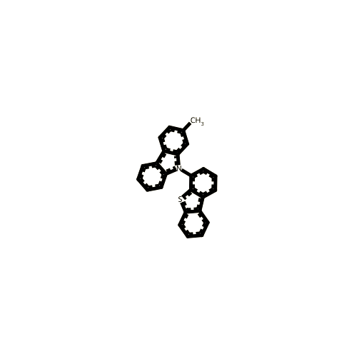 Cc1ccc2c3ccccc3n(-c3cccc4c3sc3ccccc34)c2c1